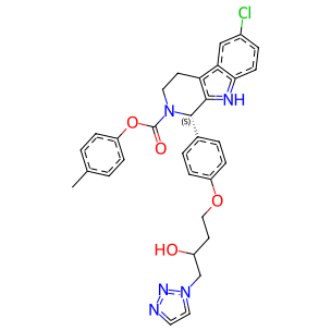 Cc1ccc(OC(=O)N2CCc3c([nH]c4ccc(Cl)cc34)[C@@H]2c2ccc(OCCC(O)Cn3ccnn3)cc2)cc1